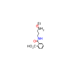 CCO[SiH2]CCCNC(=O)c1ccccc1C(=O)O